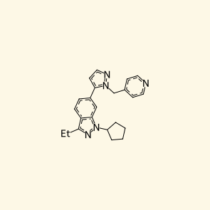 CCc1nn(C2CCCC2)c2cc(-c3ccnn3Cc3ccncc3)ccc12